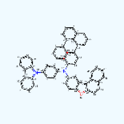 c1ccc(-c2cccc3cccc(-c4ccc(N(c5ccc(-n6c7ccccc7c7ccccc76)cc5)c5ccc6oc7ccc8ccccc8c7c6c5)cc4)c23)cc1